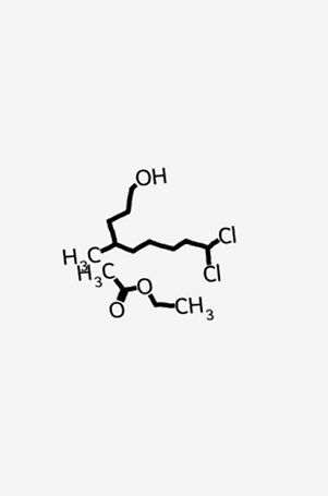 CC(CCCO)CCCCC(Cl)Cl.CCOC(C)=O